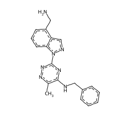 Cc1nnc(-n2ncc3c(CN)cccc32)nc1NCc1ccccc1